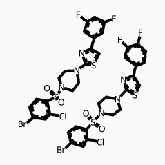 O=S(=O)(c1ccc(Br)cc1Cl)N1CCN(c2nc(-c3cc(F)cc(F)c3)cs2)CC1.O=S(=O)(c1ccc(Br)cc1Cl)N1CCN(c2nc(-c3ccc(F)c(F)c3)cs2)CC1